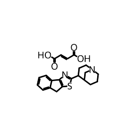 O=C(O)/C=C/C(=O)O.c1ccc2c(c1)Cc1sc(C3CCN4CCCC3C4)nc1-2